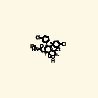 CCC([C@H](C)O)N1C(=O)[C@@](C)(CC(=O)NC(C)C)C[C@H](c2cccc(Cl)c2)[C@H]1C1(C)C=CC(Cl)=CC1